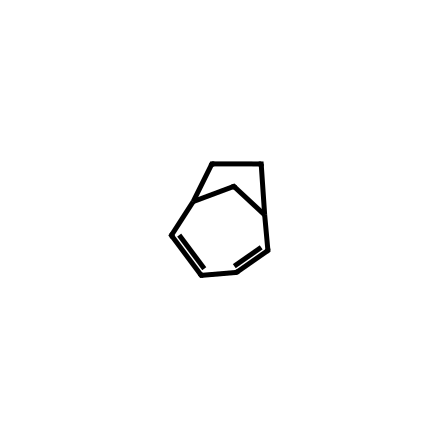 C1=CC2CCC(C=C1)C2